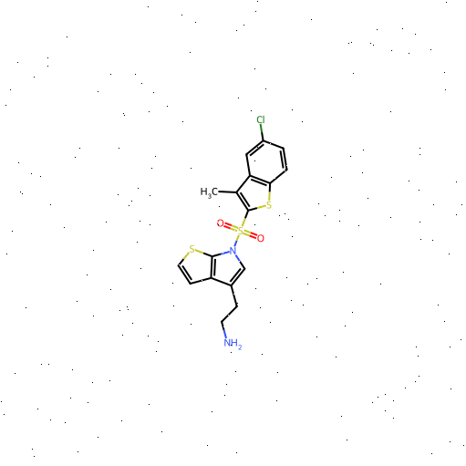 Cc1c(S(=O)(=O)n2cc(CCN)c3ccsc32)sc2ccc(Cl)cc12